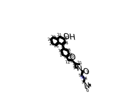 CN(C)C/C=C/C(=O)N1CC(c2cc3ccc(-c4cc(O)cc5ccccc45)cc3o2)C1